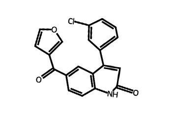 O=C(c1ccoc1)c1ccc2[nH]c(=O)cc(-c3cccc(Cl)c3)c2c1